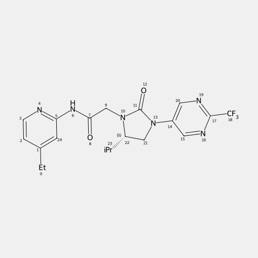 CCc1ccnc(NC(=O)CN2C(=O)N(c3cnc(C(F)(F)F)nc3)C[C@@H]2C(C)C)c1